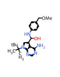 COCc1ccc(NC(O)c2cn(C(C)(C)C(C)(C)C)c3ncnc(N)c23)cc1